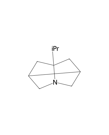 CC(C)C12CC3CN1CC3C2